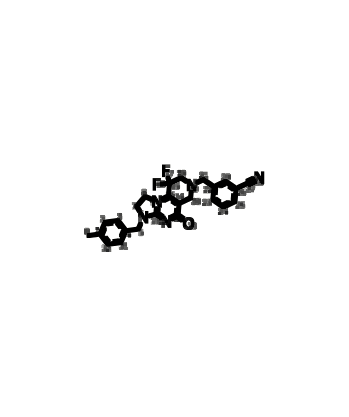 Cc1ccc(CN2CCn3c2nc(=O)c2c3C(F)(F)CN(Cc3cccc(C#N)c3)C2)cc1